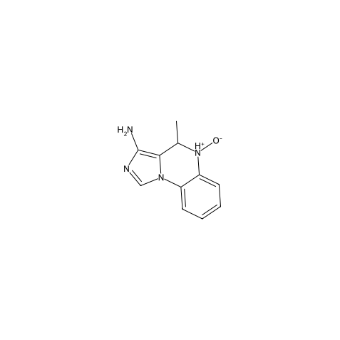 CC1c2c(N)ncn2-c2ccccc2[NH+]1[O-]